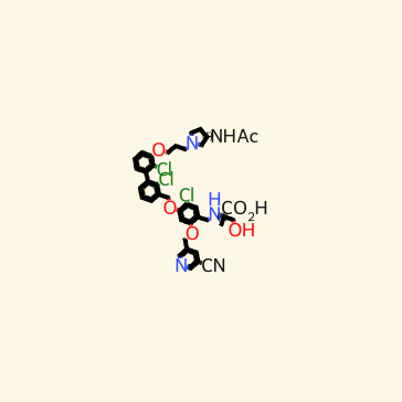 CC(=O)N[C@H]1CCN(CCCOc2cccc(-c3cccc(COc4cc(OCc5cncc(C#N)c5)c(CN[C@](C)(CO)C(=O)O)cc4Cl)c3Cl)c2Cl)C1